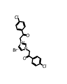 O=C(Cn1cc[n+](CC(=O)c2ccc(Cl)cc2)c1)c1ccc(Cl)cc1.[Br-]